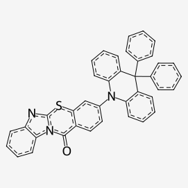 O=c1c2ccc(N3c4ccccc4C(c4ccccc4)(c4ccccc4)c4ccccc43)cc2sc2nc3ccccc3n12